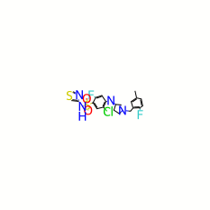 Cc1ccc(F)c(CN2CCC(N(C)c3cc(F)c(S(=O)(=O)Nc4cscn4)cc3Cl)C2)c1